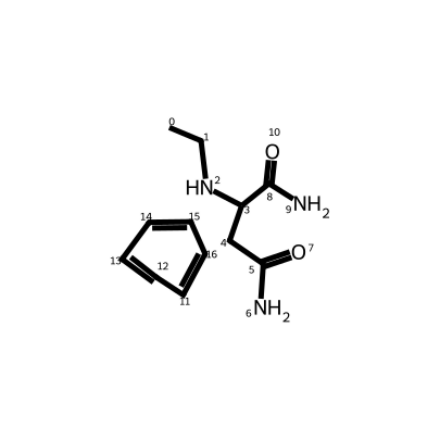 CCNC(CC(N)=O)C(N)=O.c1ccccc1